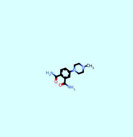 CN1CCN(c2ccc(C(N)=O)c(C(N)=O)c2)CC1